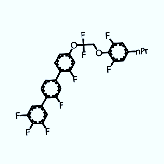 CCCc1cc(F)c(OCC(F)(F)Oc2ccc(-c3ccc(-c4cc(F)c(F)c(F)c4)c(F)c3)c(F)c2)c(F)c1